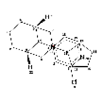 Clc1cc(C2[C@@H]3CCC[C@H]2CN(C2CCCC2)C3)ccn1